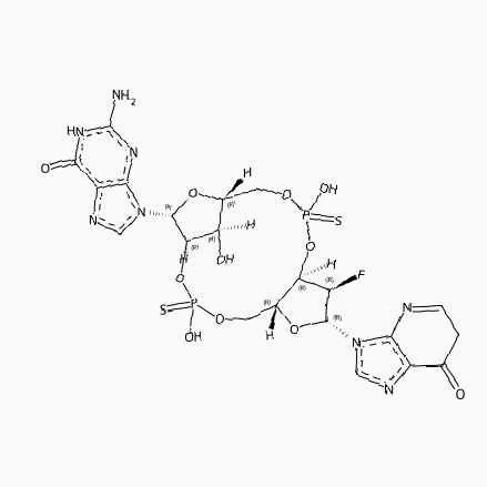 Nc1nc2c(ncn2[C@@H]2O[C@@H]3COP(O)(=S)O[C@H]4[C@@H](F)[C@H](n5cnc6c5N=CCC6=O)O[C@@H]4COP(O)(=S)O[C@@H]2[C@@H]3O)c(=O)[nH]1